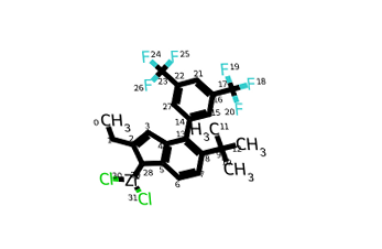 CCC1=Cc2c(ccc(C(C)(C)C)c2-c2cc(C(F)(F)F)cc(C(F)(F)F)c2)[CH]1[Zr]([Cl])[Cl]